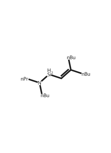 CCCCC(=C[SiH2]N(CCC)CCCC)CCCC